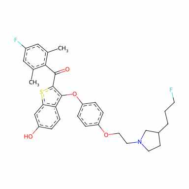 Cc1cc(F)cc(C)c1C(=O)c1sc2cc(O)ccc2c1Oc1ccc(OCCN2CCC(CCCF)C2)cc1